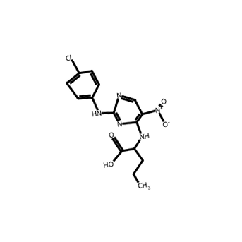 CCCC(Nc1nc(Nc2ccc(Cl)cc2)ncc1[N+](=O)[O-])C(=O)O